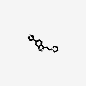 C1=C2C(CCN3CCCC3)=NN=C2CC(c2ccsc2)=C1